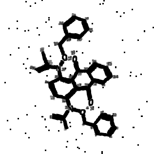 C=C(C)N(OCc1ccccc1)c1ccc(N(OCc2ccccc2)C(=C)C)c2c1C(=O)c1ccccc1C2=O